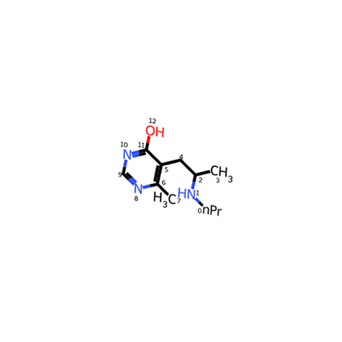 CCCNC(C)Cc1c(C)ncnc1O